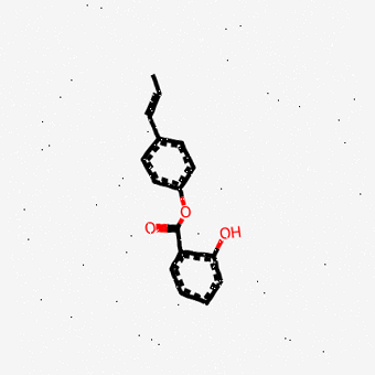 CC=Cc1ccc(OC(=O)c2ccccc2O)cc1